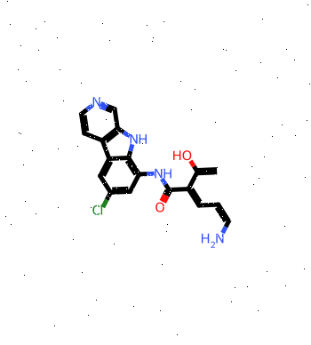 C=C(O)/C(=C\C=C/N)C(=O)Nc1cc(Cl)cc2c1[nH]c1cnccc12